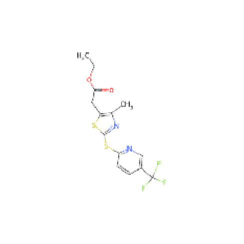 CCOC(=O)Cc1sc(Sc2ccc(C(F)(F)F)cn2)nc1C